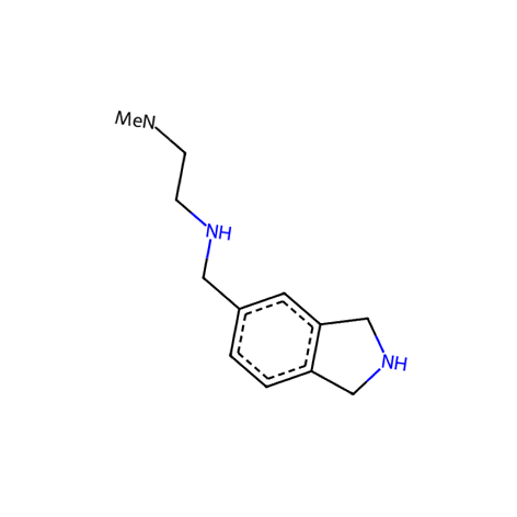 CNCCNCc1ccc2c(c1)CNC2